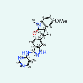 COc1ccc2c(c1)[C@]1(C[C@H]1c1ccc3c(Nc4ncncc4C)n[nH]c3c1)C(=O)N2C